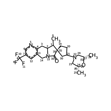 CC1C2Cc3ncc(C(F)(F)F)cc3CN2C(=O)[C@]12CCC(N1C[C@@H](C)O[C@@H](C)C1)C2